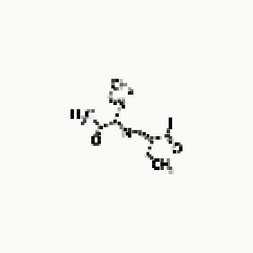 C=C\C(=C/N=C(\N=C\C)C(C)=O)C(=O)I